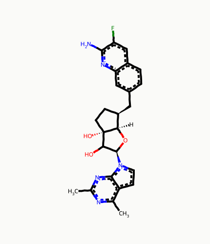 Cc1nc(C)c2ccn([C@@H]3O[C@@H]4[C@H](Cc5ccc6cc(F)c(N)nc6c5)CC[C@]4(O)C3O)c2n1